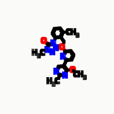 COc1nc(C)ncc1-c1cccc(OCc2c(C)cccc2-n2nnn(C)c2=O)n1